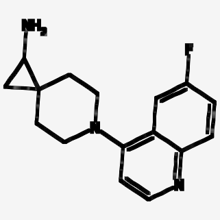 NC1CC12CCN(c1ccnc3ccc(F)cc13)CC2